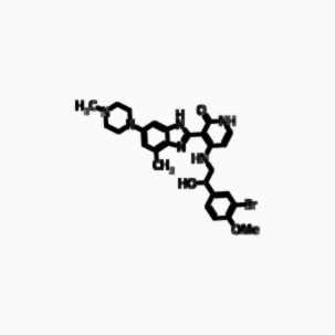 COc1ccc(C(O)CNc2cc[nH]c(=O)c2-c2nc3c(C)cc(N4CCN(C)CC4)cc3[nH]2)cc1Br